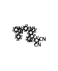 N#Cc1cc(C#N)cc(-c2cc3c4cccnc4c(-c4cccc(-c5nc(-c6ccccc6)c6ccccc6n5)c4)cc3c3cccnc23)c1